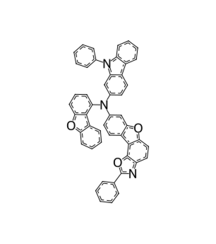 c1ccc(-c2nc3ccc4oc5cc(N(c6ccc7c8ccccc8n(-c8ccccc8)c7c6)c6cccc7oc8ccccc8c67)ccc5c4c3o2)cc1